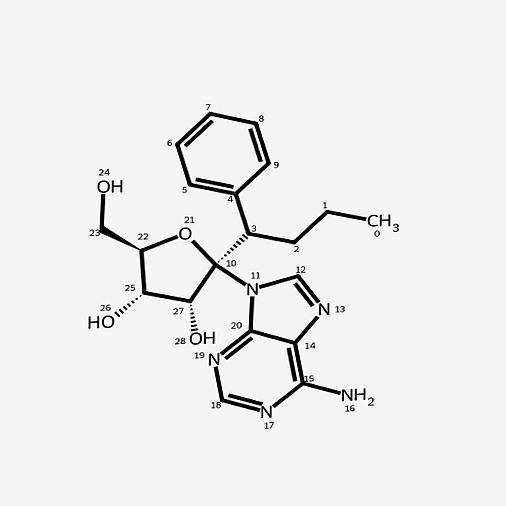 CCCC(c1ccccc1)[C@@]1(n2cnc3c(N)ncnc32)O[C@H](CO)[C@@H](O)[C@H]1O